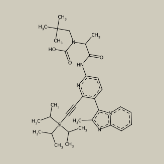 Cc1nc2ccccn2c1-c1ccc(NC(=O)C(C)N(CC(C)(C)C)C(=O)O)nc1C#C[Si](C(C)C)(C(C)C)C(C)C